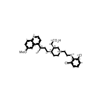 COc1ccc2nccc([C@H](F)CC[C@@H]3CCN(CCSc4c(Cl)cccc4Cl)C[C@@H]3CC(=O)O)c2c1